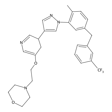 Cc1ccc(Cc2cccc(C(F)(F)F)c2)cc1-n1cc(C2C=NC=C(OCCN3CCOCC3)C2)cn1